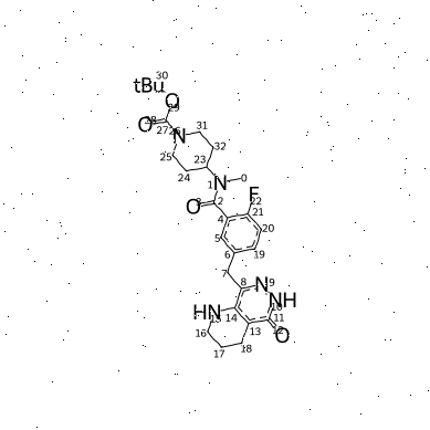 CN(C(=O)c1cc(Cc2n[nH]c(=O)c3c2NCCC3)ccc1F)C1CCN(C(=O)OC(C)(C)C)CC1